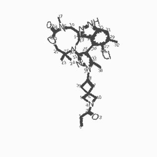 C=CC(=O)N1CC2(CC(n3nc(N4CCCN(C)C(=O)OCC4(C)C)c(-c4c(Cl)c(C)cc5[nH]ncc45)c3C)C2)C1